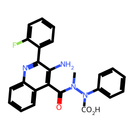 CN(C(=O)c1c(N)c(-c2ccccc2F)nc2ccccc12)N(C(=O)O)c1ccccc1